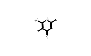 CCCc1[nH]c(C)cc(=O)c1C